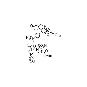 CC#C[C@]12CC[C@H]3[C@@H]4CCC5=CC(=O)CCC5=C4[C@@H](c4ccc(N(C)CCCC(=O)N5CCN(C(=O)OC(C)(C)C)CC5C(=O)N5CCN(C(=O)OC(C)(C)C)CC5C(=O)O)cc4)C[C@@]31CO2